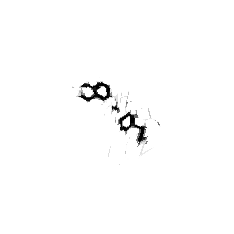 C=C(CC)C(=O)c1ccc(OCC(=O)Nc2ccc3cnccc3c2)c(Cl)c1Cl